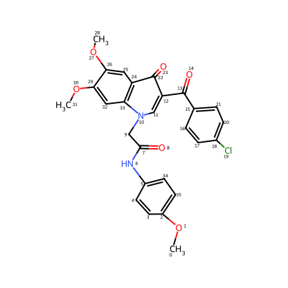 COc1ccc(NC(=O)Cn2cc(C(=O)c3ccc(Cl)cc3)c(=O)c3cc(OC)c(OC)cc32)cc1